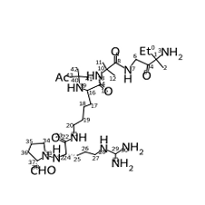 CCC(C)(N)C(=O)CNC(=O)C(C)(C)NC(=O)C(CCCCNC(=O)[C@H](CCCNC(N)N)NN1CCC[C@H]1C=O)NC(C)(C)C(C)=O